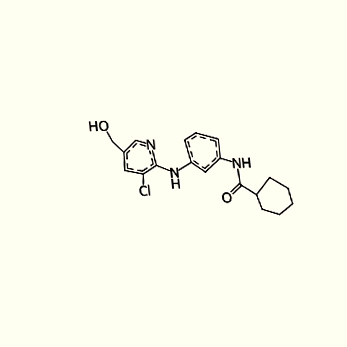 O=C(Nc1cccc(Nc2ncc(CO)cc2Cl)c1)C1CCCCC1